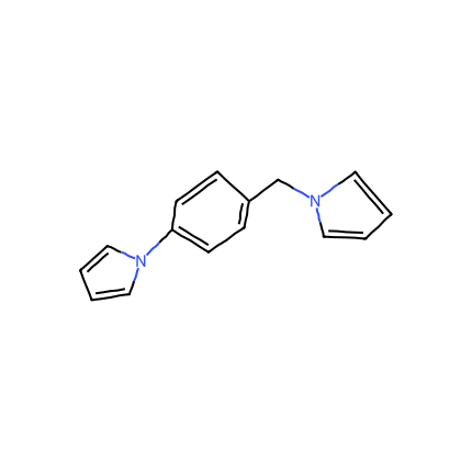 c1ccn(Cc2ccc(-n3cccc3)cc2)c1